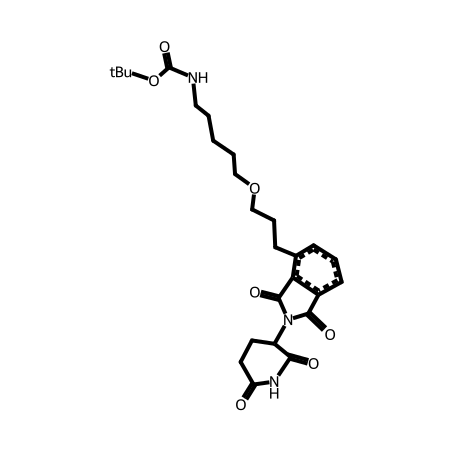 CC(C)(C)OC(=O)NCCCCCOCCCc1cccc2c1C(=O)N(C1CCC(=O)NC1=O)C2=O